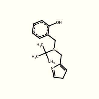 CC(C)(C)N(CC1=CCC=N1)Cc1ccccc1O